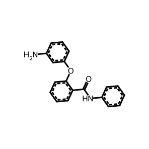 Nc1cccc(Oc2ccccc2C(=O)Nc2ccccc2)c1